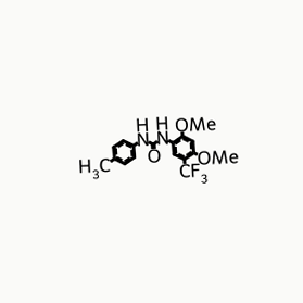 COc1cc(OC)c(C(F)(F)F)cc1NC(=O)Nc1ccc(C)cc1